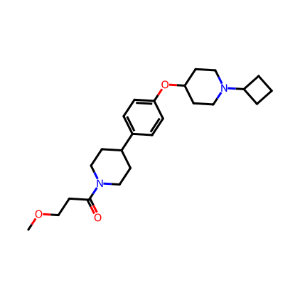 COCCC(=O)N1CCC(c2ccc(OC3CCN(C4CCC4)CC3)cc2)CC1